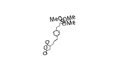 CO[Si](CCCc1ccc(/C=C/CC2CC(=O)OC2=O)cc1)(OC)OC